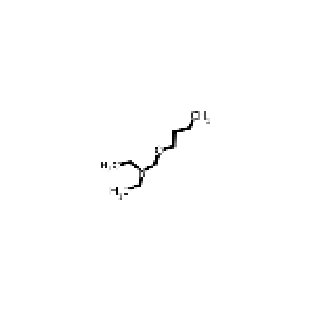 CCCCOCN(CC)CC